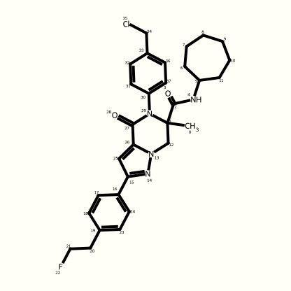 CC1(C(=O)NC2CCCCCC2)Cn2nc(-c3ccc(CCF)cc3)cc2C(=O)N1c1ccc(CCl)cc1